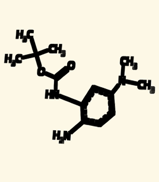 CN(C)c1ccc(N)c(NC(=O)OC(C)(C)C)c1